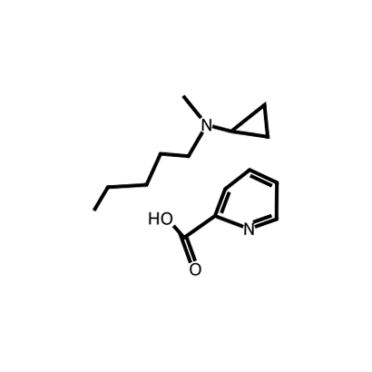 CCCCCN(C)C1CC1.O=C(O)c1ccccn1